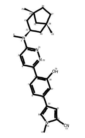 CN(c1ccc(-c2ccc(-c3cc(C#N)n(C)c3)cc2O)nn1)[C@H]1C[C@]2(C)CC[C@](C)(C1)C2